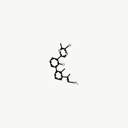 CCc1ncc(-c2cccc(-c3cccc(/C(C)=C/N)c3C)c2Cl)nc1C